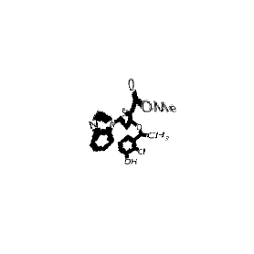 COC(=O)c1sc(-n2cnc3ccccc32)cc1OC(C)c1cccc(O)c1Cl